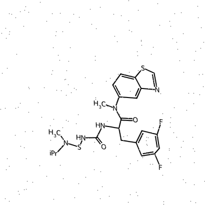 CC(C)N(C)SNC(=O)NC(Cc1cc(F)cc(F)c1)C(=O)N(C)c1ccc2scnc2c1